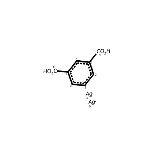 O=C(O)c1cccc(C(=O)O)c1.[Ag].[Ag]